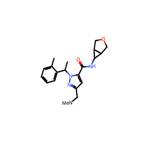 CNCc1cc(C(=O)NC2C3COCC32)n(C(C)c2ccccc2C)n1